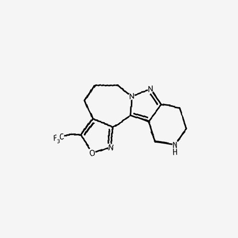 FC(F)(F)c1onc2c1CCCn1nc3c(c1-2)CNCC3